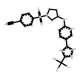 N#Cc1ccc(S(=O)(=O)N2CCC(Oc3ccc(-c4noc(C(F)(F)F)n4)cn3)C2)cc1